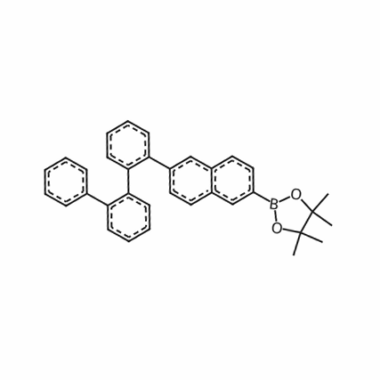 CC1(C)OB(c2ccc3cc(-c4ccccc4-c4ccccc4-c4ccccc4)ccc3c2)OC1(C)C